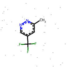 Cc1cc(C(F)(F)F)[c]nn1